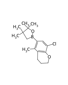 Cc1c(B2CC(C)(C)C(C)(C)O2)cc(Cl)c2c1CCCO2